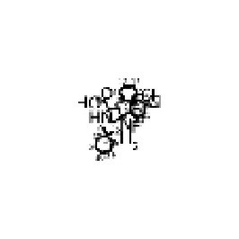 CC1(C[C@@H]2N[C@@H](C(=O)O)[C@H](c3cccc(Cl)c3F)[C@@]2(N)c2ccc(Cl)cc2F)CCCCC1